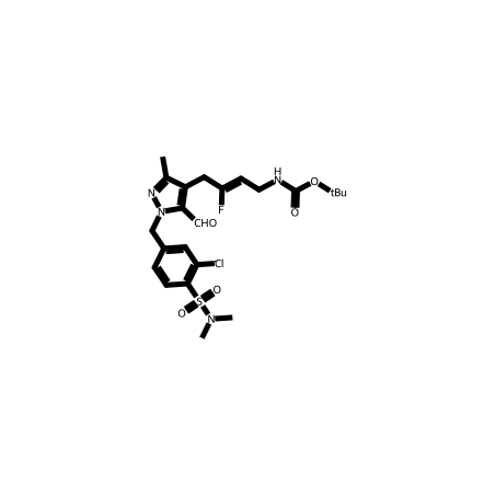 Cc1nn(Cc2ccc(S(=O)(=O)N(C)C)c(Cl)c2)c(C=O)c1C/C(F)=C/CNC(=O)OC(C)(C)C